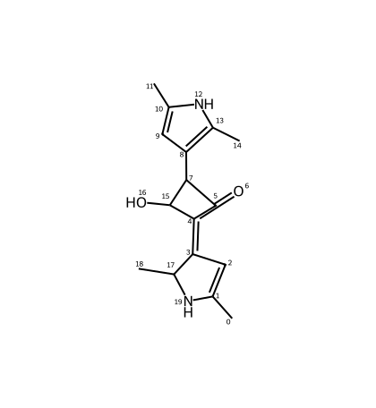 CC1=CC(=C2C(=O)C(c3cc(C)[nH]c3C)C2O)C(C)N1